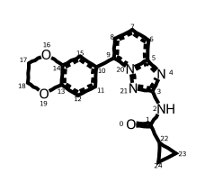 O=C(Nc1nc2cccc(-c3ccc4c(c3)OCCO4)n2n1)C1CC1